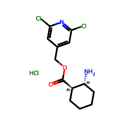 Cl.N[C@@H]1CCCC[C@H]1C(=O)OCc1cc(Cl)nc(Cl)c1